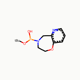 CC(C)(C)OP(O)N1CCOc2cccnc2C1